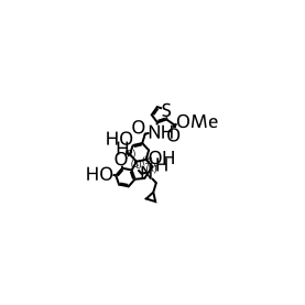 COC(=O)c1sccc1NC(=O)C1=C(O)[C@@H]2Oc3c(O)ccc4c3[C@@]23CCN(CC2CC2)[C@H](C4)[C@]3(O)C1